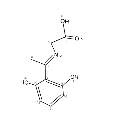 C/C(=N\CC(=O)O)c1c(O)cccc1O